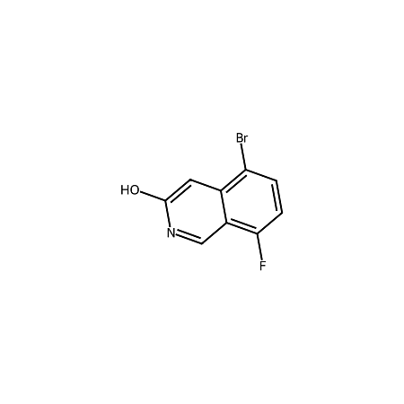 Oc1cc2c(Br)ccc(F)c2cn1